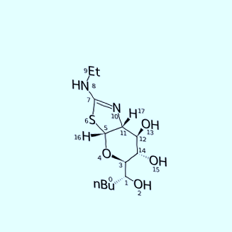 CCCC[C@@H](O)[C@H]1O[C@@H]2SC(NCC)=N[C@@H]2[C@@H](O)[C@@H]1O